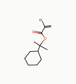 C=C(CC)C(=O)OC(C)(C)C1CCCCC1